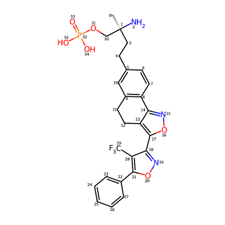 C[C@](N)(CCc1ccc2c(c1)CCc1c-2noc1-c1noc(-c2ccccc2)c1C(F)(F)F)COP(=O)(O)O